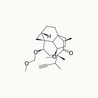 C#CC(C)[C@]1(C)C[C@@H](OCOC)[C@]23C[C@@H]2CCC2(CC[C@@H](OC)C23)[C@@H](C)C1=O